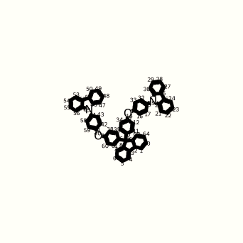 C1=CC2c3ccccc3C(c3ccc(Oc4ccc(-n5c6ccccc6c6ccccc65)cc4)cc3)(c3ccc(Oc4ccc(-n5c6ccccc6c6ccccc65)cc4)cc3)C2C=C1